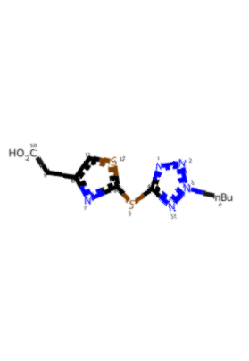 CCCCn1nnc(Sc2nc(CC(=O)O)cs2)n1